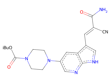 CC(C)COC(=O)N1CCN(c2cnc3[nH]cc(/C=C(\C#N)C(N)=O)c3c2)CC1